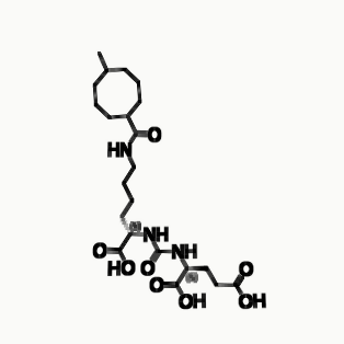 CC1CCCC(C(=O)NCCCC[C@H](NC(=O)N[C@@H](CCC(=O)O)C(=O)O)C(=O)O)CCC1